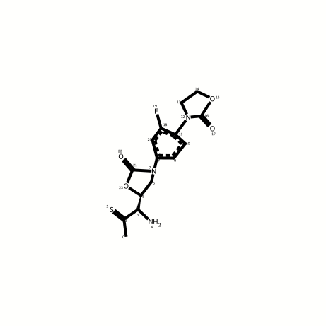 CC(=S)C(N)[C@@H]1CN(c2ccc(N3CCOC3=O)c(F)c2)C(=O)O1